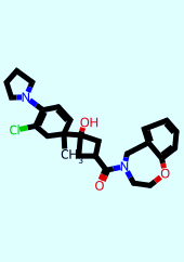 CC1(C2(O)CC(C(=O)N3CCOc4ccccc4C3)C2)C=CC(N2CCCC2)=C(Cl)C1